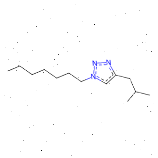 CCCCCCCn1cc(CC(C)C)nn1